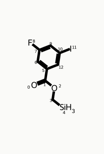 O=C(OC[SiH3])c1cc(F)cc(I)c1